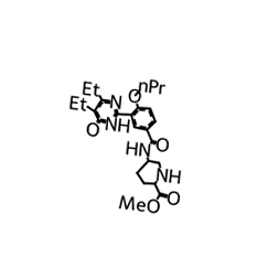 CCCOc1ccc(C(=O)NC2CCC(C(=O)OC)NC2)cc1-c1nc(CC)c(CC)c(=O)[nH]1